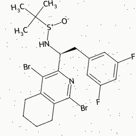 CC(C)(C)[S+]([O-])N[C@@H](Cc1cc(F)cc(F)c1)c1nc(Br)c2c(c1Br)CCCC2